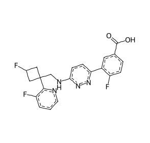 O=C(O)c1ccc(F)c(-c2ccc(NCC3(c4ncccc4F)CC(F)C3)nn2)c1